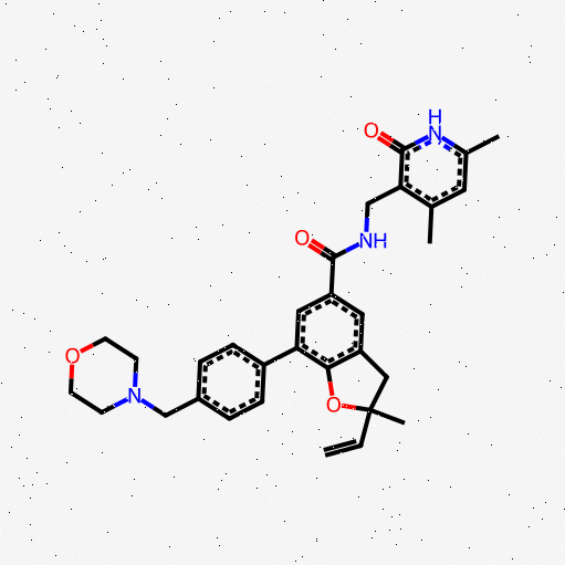 C=CC1(C)Cc2cc(C(=O)NCc3c(C)cc(C)[nH]c3=O)cc(-c3ccc(CN4CCOCC4)cc3)c2O1